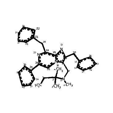 CCC(C)(C)N(C)Cc1c(Cc2ccccc2)nc2c(Cc3ccccc3)nc(-c3ccccc3)cn12